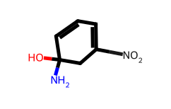 NC1(O)C=CC=C([N+](=O)[O-])C1